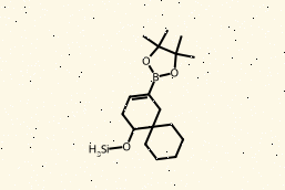 CC1(C)OB(C2=CCC(O[SiH3])C3(CCCCC3)C2)OC1(C)C